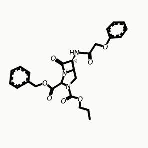 CCCOC(=O)N1CC2[C@H](NC(=O)COc3ccccc3)C(=O)N2C1C(=O)OCc1ccccc1